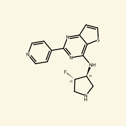 F[C@H]1CNC[C@@H]1Nc1nc(-c2ccncc2)nc2ccsc12